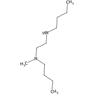 CCCCNCCN(C)CCCC